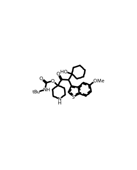 COc1ccc2scc(C(C(=O)C3(OC(=O)NC(C)(C)C)CCNCC3)C3(O)CCCCC3)c2c1